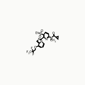 CCS(=O)(=O)c1ccc(N(C)C(=O)C2CC2)nc1-c1ncc2c(OCC(F)(F)C(F)(F)F)cccn12